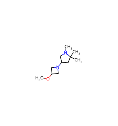 COC1CN(C2CN(C)C(C)(C)C2)C1